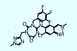 CN(I)/C=C1/C=C(NC2=NC3OC3N(Cc3ncn(C)n3)C(=O)N2Cc2cc(F)c(F)c(F)c2)C(Cl)=CC1=N